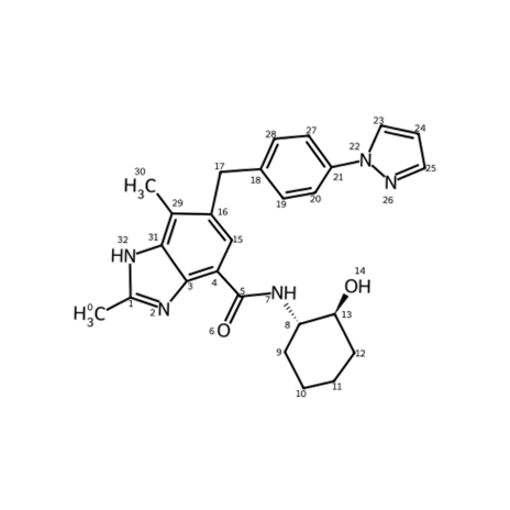 Cc1nc2c(C(=O)N[C@H]3CCCC[C@@H]3O)cc(Cc3ccc(-n4cccn4)cc3)c(C)c2[nH]1